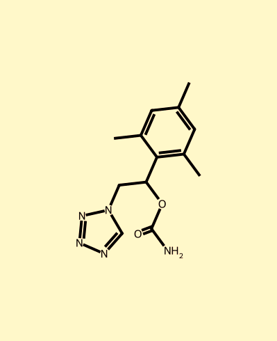 Cc1cc(C)c(C(Cn2cnnn2)OC(N)=O)c(C)c1